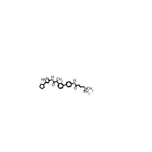 CC(C(=O)Nc1cc(C2CCCC2)[nH]n1)c1cccc(-c2ccc(NC(=O)/C=C/CN(C)C)cc2)c1